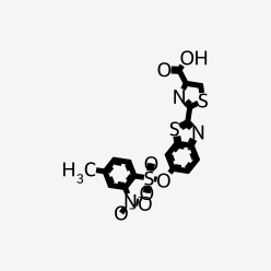 Cc1ccc(S(=O)(=O)Oc2ccc3nc(C4=NC(C(=O)O)CS4)sc3c2)c([N+](=O)[O-])c1